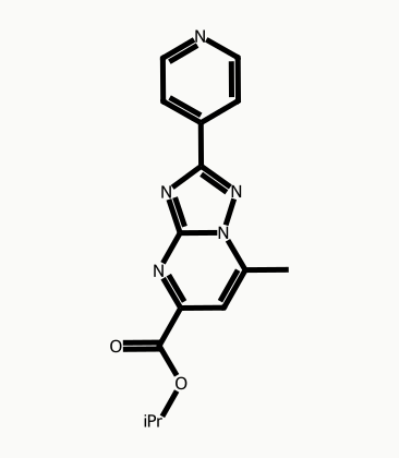 Cc1cc(C(=O)OC(C)C)nc2nc(-c3ccncc3)nn12